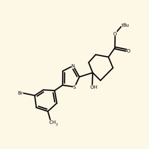 Cc1cc(Br)cc(-c2cnc(C3(O)CCC(C(=O)OC(C)(C)C)CC3)s2)c1